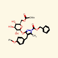 COC(=O)OC[C@H]1O[C@@H](Oc2nn(C(=O)OCc3ccccc3)c(C)c2Cc2ccc(OC(C)C)cc2)[C@H](O)[C@@H](O)[C@@H]1O